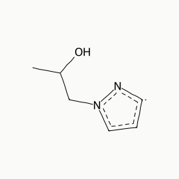 CC(O)Cn1cc[c]n1